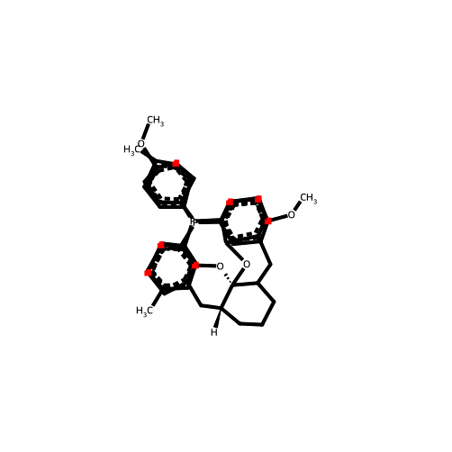 COc1ccc(P(c2ccc(OC)cc2)c2cccc3c2O[C@]24Oc5c(cccc5P(c5ccc(C)cc5)c5ccc(C)cc5)CC2CCC[C@@H]4C3)cc1